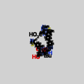 Cc1ncsc1-c1ccc([C@H](C)NC(=O)[C@@H]2C[C@@H](O)CN2C(=O)[C@@H](NC(=O)Cn2cc3cc(-c4ccc(C5=N[C@@H](CC(=O)O)c6nnc(C)n6-c6sc(C)c(C)c65)cc4)ccc3n2)C(C)(C)C)cc1